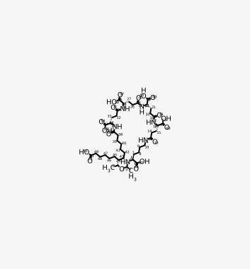 CCOC(C)N[C@@H](CCCCNC(=O)CC[C@H](NC(=O)CC[C@H](NC(=O)CC[C@H](NC(=O)CC[C@H](NC(=O)CCCCCCCCCCCCC(=O)O)C(=O)O)C(=O)O)C(=O)O)C(=O)O)C(=O)O